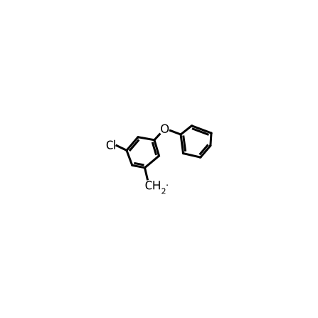 [CH2]c1cc(Cl)cc(Oc2ccccc2)c1